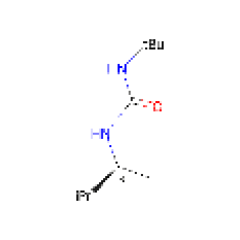 CC(C)[C@H](C)NC(=O)NC(C)(C)C